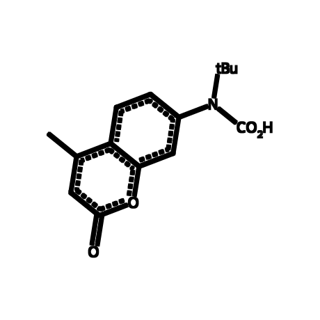 Cc1cc(=O)oc2cc(N(C(=O)O)C(C)(C)C)ccc12